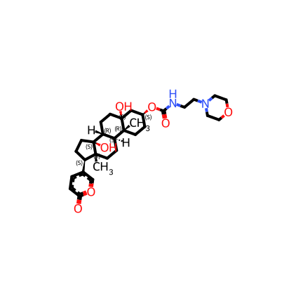 C[C@]12CC[C@H](OC(=O)NCCN3CCOCC3)C[C@@]1(O)CC[C@@H]1[C@@H]2CC[C@]2(C)[C@@H](c3ccc(=O)oc3)CC[C@]12O